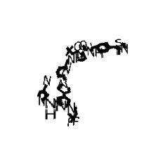 Cc1ncsc1-c1ccc([C@H](C)NC(=O)[C@@H]2CCCN2C(=O)[C@@H](NCc2cccc(CN3CCC(c4cc(Nc5cc(C#N)ccn5)nc(N5CCC(F)(F)C5)c4)CC3)n2)C(C)(C)C)cc1